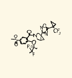 C[C@H](Oc1ccc(S(C)(=O)=O)cc1C(=O)N1CC2CC2(c2noc(C3(C(F)(F)F)CC3)n2)C1)C(C)(F)F